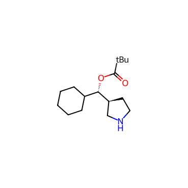 CC(C)(C)C(=O)O[C@@H](C1CCCCC1)[C@H]1CCNC1